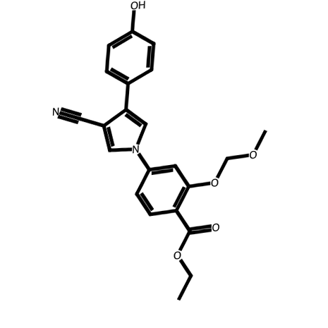 CCOC(=O)c1ccc(-n2cc(C#N)c(-c3ccc(O)cc3)c2)cc1OCOC